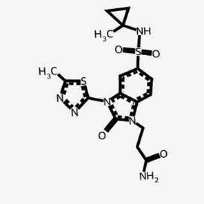 Cc1nnc(-n2c(=O)n(CCC(N)=O)c3ccc(S(=O)(=O)NC4(C)CC4)cc32)s1